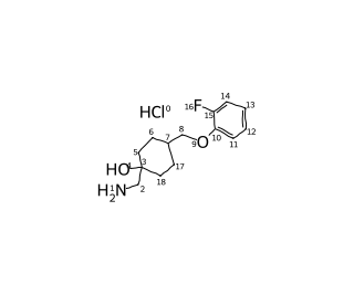 Cl.NCC1(O)CCC(COc2ccccc2F)CC1